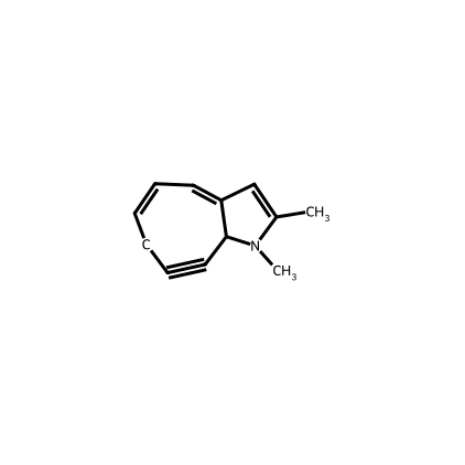 CC1=C/C2=C/C=C\CC#CC2N1C